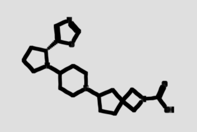 O=C(O)N1CC2(CCC(N3CCC(N4CCC[C@@H]4c4cnco4)CC3)C2)C1